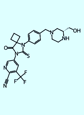 N#Cc1ncc(N2C(=O)C3(CCC3)N(c3ccc(CN4CCN[C@@H](CO)C4)cc3)C2=S)cc1C(F)(F)F